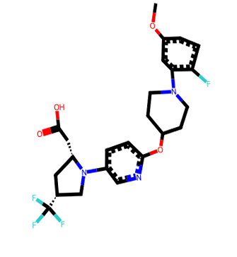 COc1ccc(F)c(N2CCC(Oc3ccc(N4C[C@H](C(F)(F)F)C[C@@H]4CC(=O)O)cn3)CC2)c1